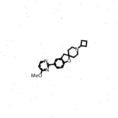 COc1ccnc(-c2ccc3c(c2)CC2(CCN(C4CCC4)CC2)O3)n1